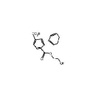 C1=CCCC=C1.O=C(O)c1ccc(C(=O)OCCO)cc1